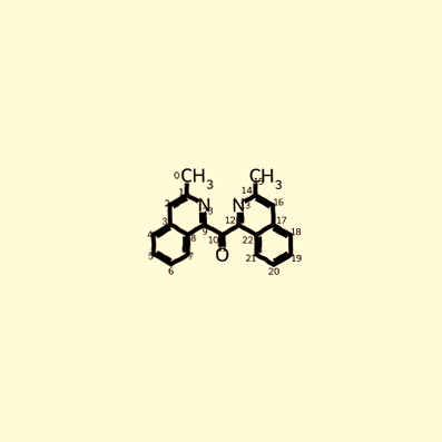 Cc1cc2ccccc2c(C(=O)c2nc(C)cc3ccccc23)n1